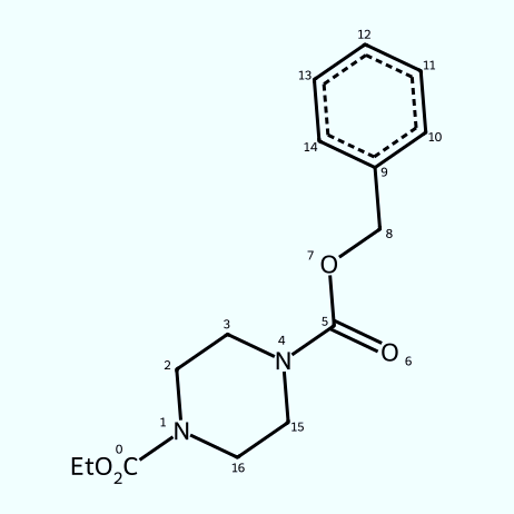 CCOC(=O)N1CCN(C(=O)OCc2ccccc2)CC1